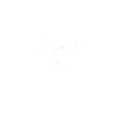 CCC(CC)C(=O)NCc1cn(C(CC(=O)NO)Cc2ccc3ccccc3c2)nn1